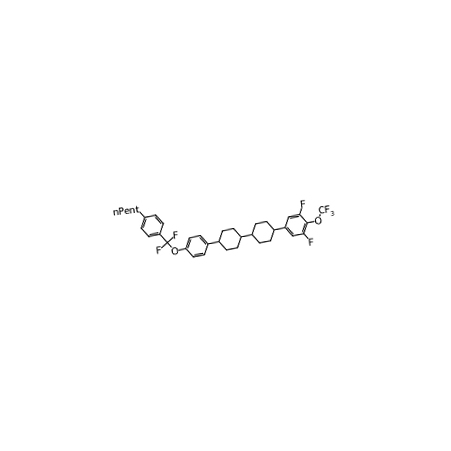 CCCCCc1ccc(C(F)(F)Oc2ccc(C3CCC(C4CCC(c5cc(F)c(OC(F)(F)F)c(F)c5)CC4)CC3)cc2)cc1